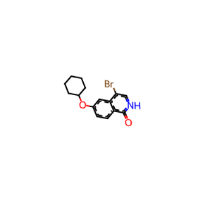 O=c1[nH]cc(Br)c2cc(OC3CCCCC3)ccc12